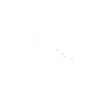 C/C(=N\OC(C)(C)C)C(C)(C)CCC(C)(C)SSC(C)(C)C